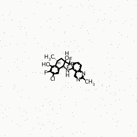 Cc1ncc2c(N[C@H]3c4cc(Cl)c(F)c(O)c4[C@H](C)CC3(O)C(F)(F)F)cccc2n1